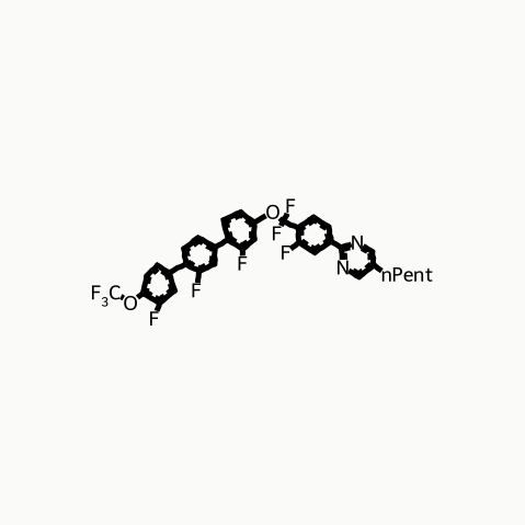 CCCCCc1cnc(-c2ccc(C(F)(F)Oc3ccc(-c4ccc(-c5ccc(OC(F)(F)F)c(F)c5)c(F)c4)c(F)c3)c(F)c2)nc1